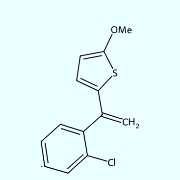 C=C(c1ccc(OC)s1)c1cc[c]cc1Cl